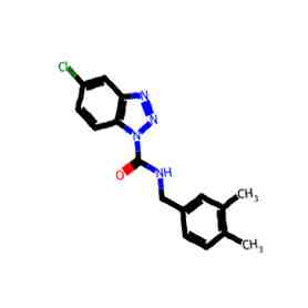 Cc1ccc(CNC(=O)n2nnc3cc(Cl)ccc32)cc1C